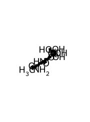 CC(=O)[C@@H](N)CCCCNC(=O)CCCO[C@@H]1O[C@H](CO)[C@H](O)[C@H](O)[C@H]1O